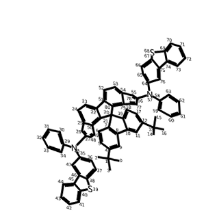 CC(C)(C)c1ccc2c(c1)-c1cc(C(C)(C)C)ccc1C21c2c(ccc3cc(N(c4ccccc4)c4ccc5sc6ccccc6c5c4)ccc23)-c2ccc3cc(N(c4ccccc4)c4ccc5sc6ccccc6c5c4)ccc3c21